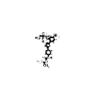 CC(C)OC(=O)NC1CCC(c2ncc(-c3ccc(N)cc3SNC(C)(C)CO)s2)CC1